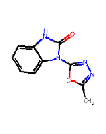 Cc1nnc(-n2c(=O)[nH]c3ccccc32)o1